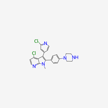 Cn1c(-c2ccc(N3CCNCC3)cc2)c(-c2ccnc(Cl)c2)c2c(Cl)ccnc21